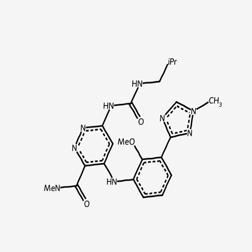 CNC(=O)c1nnc(NC(=O)NCC(C)C)cc1Nc1cccc(-c2ncn(C)n2)c1OC